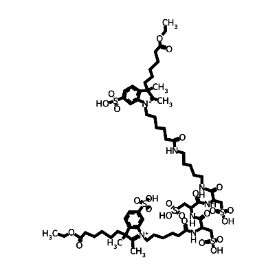 CCOC(=O)CCCCCC1(C)C(C)=[N+](CCCCCC(=O)NCCCCCNC(=O)C(CS(=O)(=O)O)NC(=O)C(CS(=O)(=O)O)NC(=O)C(CS(=O)(=O)O)NC(=O)CCCCC[N+]2=C(C)C(C)(CCCCCC(=O)OCC)c3ccc(S(=O)(=O)O)cc32)c2cc(S(=O)(=O)O)ccc21